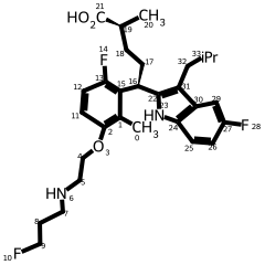 Cc1c(OCCNCCCF)ccc(F)c1[C@@H](CC[C@H](C)C(=O)O)c1[nH]c2ccc(F)cc2c1CC(C)C